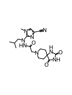 CC(C)CN(NC(=O)CN1CCC2(CC1)NC(=O)NC2=O)c1nc(C#N)cn1C